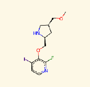 COC[C@@H]1CN[C@H](COc2c(I)ccnc2F)C1